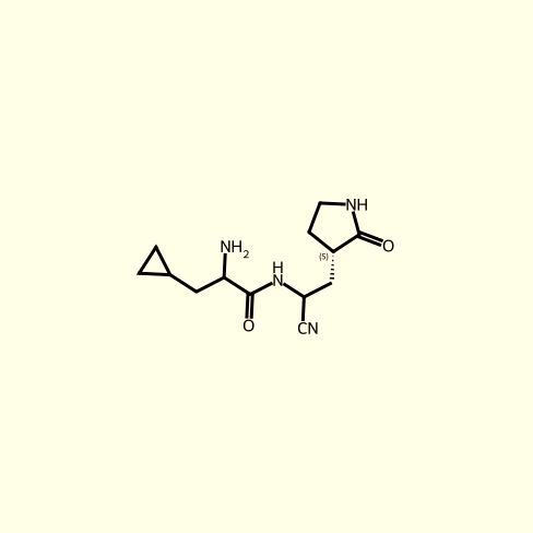 N#CC(C[C@@H]1CCNC1=O)NC(=O)C(N)CC1CC1